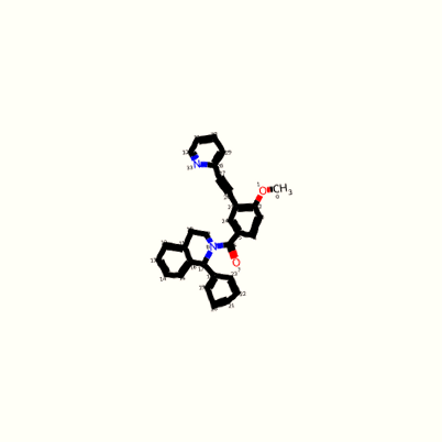 COc1ccc(C(=O)N2CCc3ccccc3C2c2ccccc2)cc1C#Cc1ccccn1